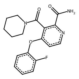 NC(=O)c1nccc(Oc2ccccc2F)c1C(=O)N1CCCCC1